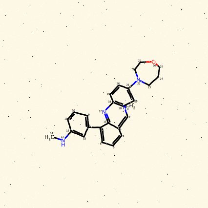 C=N/C=C1/C=CC=C(c2cccc(NC)c2)/C1=N/c1ccc(N2CCCOCC2)cc1